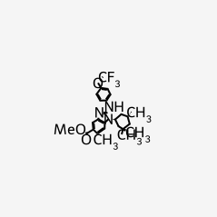 COC(=O)c1cc2nc(Nc3ccc(OC(F)(F)F)cc3)n([C@@H]3C[C@H](C)CC(C)(C)C3)c2cc1C